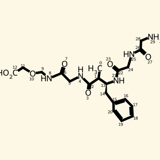 CC(C(=O)NCC(=O)NCOCC(=O)O)[C@H](Cc1ccccc1)NC(=O)CNC(=O)CN